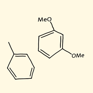 COc1cccc(OC)c1.Cc1ccccc1